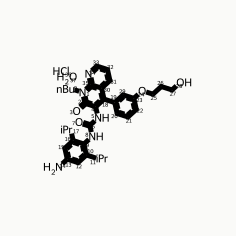 CCCCn1c(=O)c(NC(=O)Nc2c(C(C)C)cc(N)cc2C(C)C)c(-c2cccc(OCCCO)c2)c2cccnc21.Cl.O